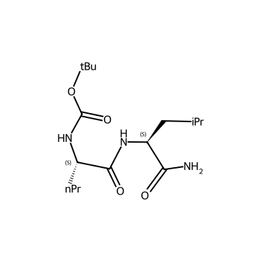 CCC[C@H](NC(=O)OC(C)(C)C)C(=O)N[C@@H](CC(C)C)C(N)=O